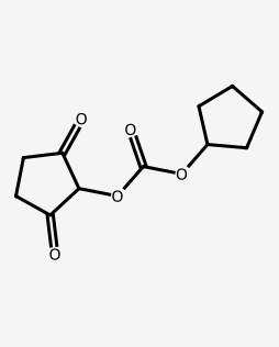 O=C(OC1CCCC1)OC1C(=O)CCC1=O